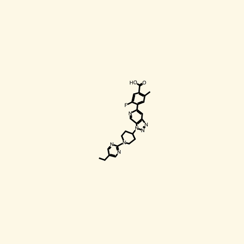 CCc1cnc(N2CCC(n3nnc4cc(-c5cc(C)c(C(=O)O)cc5F)ncc43)CC2)nc1